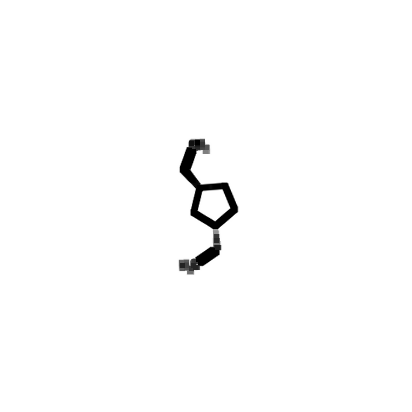 C=C[C@H]1CC[C@H](C=C)C1